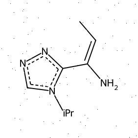 C/C=C(/N)c1nncn1C(C)C